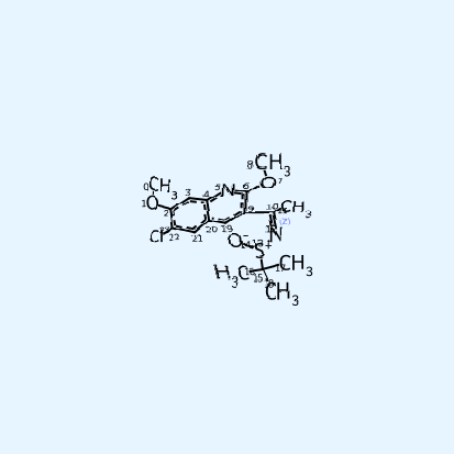 COc1cc2nc(OC)c(/C(C)=N\[S+]([O-])C(C)(C)C)cc2cc1Cl